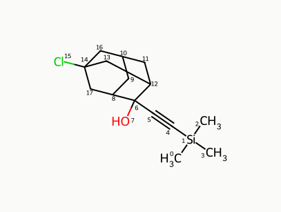 C[Si](C)(C)C#CC1(O)C2CC3CC1CC(Cl)(C3)C2